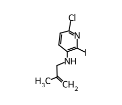 C=C(C)CNc1ccc(Cl)nc1I